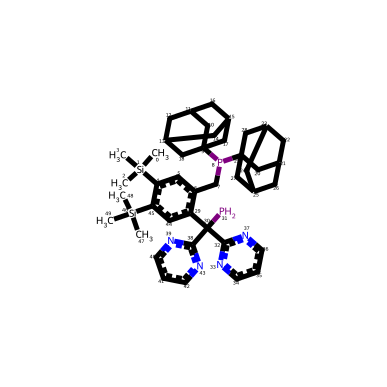 C[Si](C)(C)c1cc(CP(C23CC4CC(CC(C4)C2)C3)C23CC4CC(CC(C4)C2)C3)c(C(P)(c2ncccn2)c2ncccn2)cc1[Si](C)(C)C